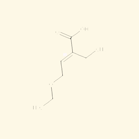 CCOC/C=C(\CC)C(=O)O